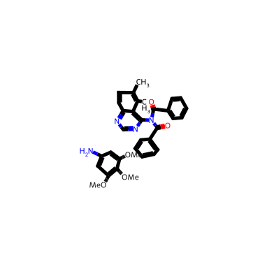 COc1cc(N)cc(OC)c1OC.Cc1ccc2ncnc(N(C(=O)c3ccccc3)C(=O)c3ccccc3)c2c1C